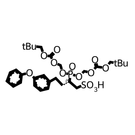 CC(C)(C)COC(=O)OCOP(=O)(OCOC(=O)OCC(C)(C)C)[C@@H](CCc1cccc(Oc2ccccc2)c1)CS(=O)(=O)O